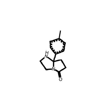 Cc1ccc(C23CCC(=O)N2CCN3)cc1